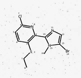 CCSc1ccc(Cl)nc1-c1ncc(Br)n1C